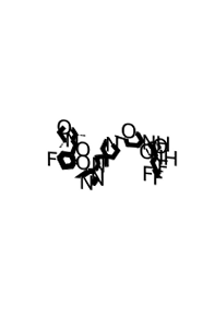 C[C@@H]1COC[C@H](C)N1C(=O)c1cc(F)ccc1Oc1cncnc1N1CC2(CCN(C[C@@H]3CC[C@@H](NS(=O)(=O)NCC(F)(F)F)CO3)CC2)C1